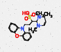 CC1C=CN(C)C(C(CCN2c3ccccc3Oc3ccccc32)S(=O)(=O)O)N1C